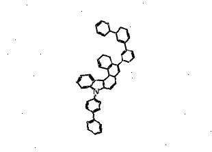 C1=CCC(C2C=C(C3=CC(C4=CC5C=CC6C(c7ccccc7N6c6ccc(C7=CCCC=C7)cc6)C5C5=C4CCC=C5)CC=C3)C=CC2)C=C1